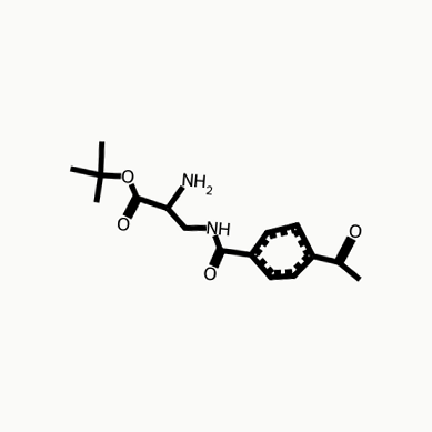 CC(=O)c1ccc(C(=O)NCC(N)C(=O)OC(C)(C)C)cc1